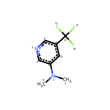 CN(C)c1cncc(C(F)(F)F)c1